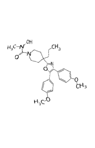 CCCC1(c2nc(-c3ccc(OC)cc3)c(-c3ccc(OC)cc3)o2)CCN(C(=O)N(C)O)CC1